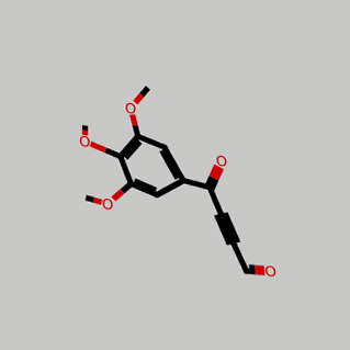 COc1cc(C(=O)C#CC=O)cc(OC)c1OC